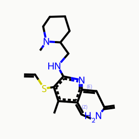 C=CSc1c(NCC2CCCCN2C)nc(=C/C(=C)N)/c(=C\C)c1C